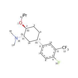 CC(C)O[C@H]1CC[C@H](c2ccc(F)c(C(F)(F)F)c2)C[C@@H]1N(C)C